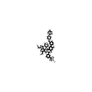 CCc1nc2c(cnn2CC)c(NC2CCOCC2)c1CN(Cc1ccc(F)c(-c2cccc(CN3CCN(c4ncccn4)CC3)c2)c1)C(=O)c1cccc(C(N)=O)c1